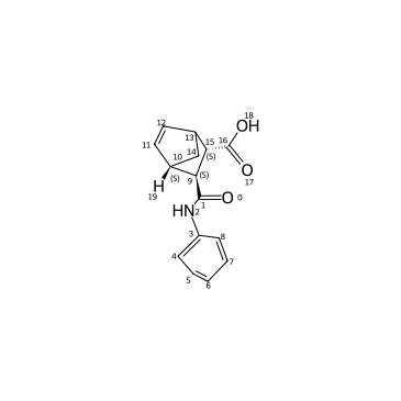 O=C(Nc1ccccc1)[C@H]1[C@@H]2C=CC(C2)[C@@H]1C(=O)O